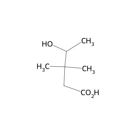 CC(O)C(C)(C)CC(=O)O